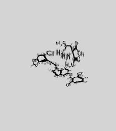 CC(C)C[C@](N)(C(N)=O)C(=O)O.Clc1cc2c(cc1Cn1ccc3cc(OCc4c(Cl)cccc4Cl)ccc31)OCO2